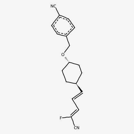 N#C/C(F)=C/C=C/[C@H]1CC[C@H](OCc2ccc(C#N)cc2)CC1